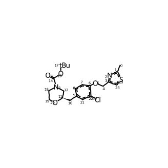 Cc1nc(COc2ccc(C[C@@H]3CN(C(=O)OC(C)(C)C)CCO3)cc2Cl)cs1